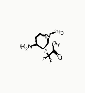 NC1CCN(C=O)CC1.O=C(O)C(F)(F)F